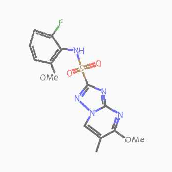 COc1cccc(F)c1NS(=O)(=O)c1nc2nc(OC)c(C)cn2n1